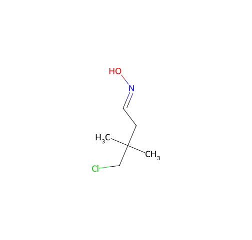 CC(C)(CCl)CC=NO